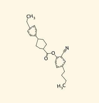 CCCCc1ccc(OC(=O)C2CCC(c3ccc(CC)cc3)CC2)c(C#N)c1